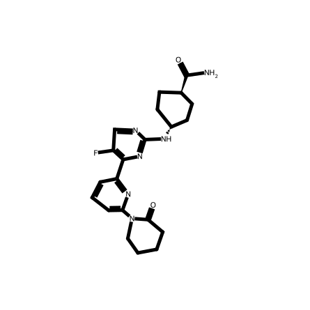 NC(=O)[C@H]1CC[C@H](Nc2ncc(F)c(-c3cccc(N4CCCCC4=O)n3)n2)CC1